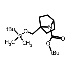 CC(C)(C)OC(=O)N1C2CCC1(CO[Si](C)(C)C(C)(C)C)CC2